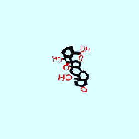 CC12CCC(=O)C=C1CCC1C2C(O)CC2(C)C1CCC2(C(=O)CO)c1ccccc1C(=O)O